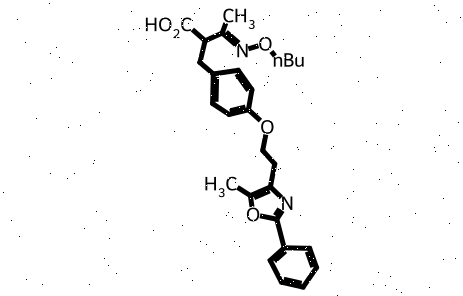 CCCCON=C(C)C(Cc1ccc(OCCc2nc(-c3ccccc3)oc2C)cc1)C(=O)O